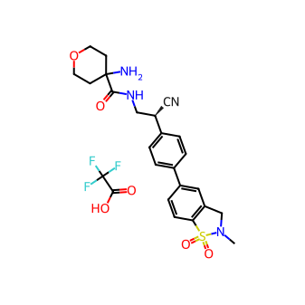 CN1Cc2cc(-c3ccc([C@H](C#N)CNC(=O)C4(N)CCOCC4)cc3)ccc2S1(=O)=O.O=C(O)C(F)(F)F